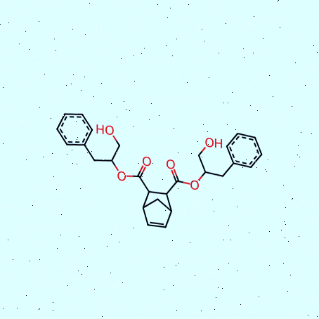 O=C(OC(CO)Cc1ccccc1)C1C2C=CC(C2)C1C(=O)OC(CO)Cc1ccccc1